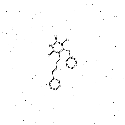 CCc1c(Sc2ccccc2)n(COC=Cc2ccccc2)c(=O)[nH]c1=O